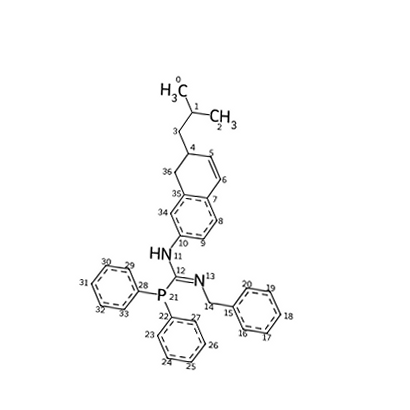 CC(C)CC1C=Cc2ccc(N/C(=N/Cc3ccccc3)P(c3ccccc3)c3ccccc3)cc2C1